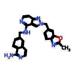 Cc1nc2ccc(Cn3cc4c(NCc5ccc6c(N)nccc6c5)nccc4n3)cc2o1